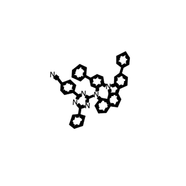 N#Cc1ccc(-c2nc(-c3ccccc3)nc(-n3c4cccc5ccc6c7ccc(-c8ccccc8)cc7n(c7ccc(-c8ccccc8)cc73)c6c54)n2)cc1